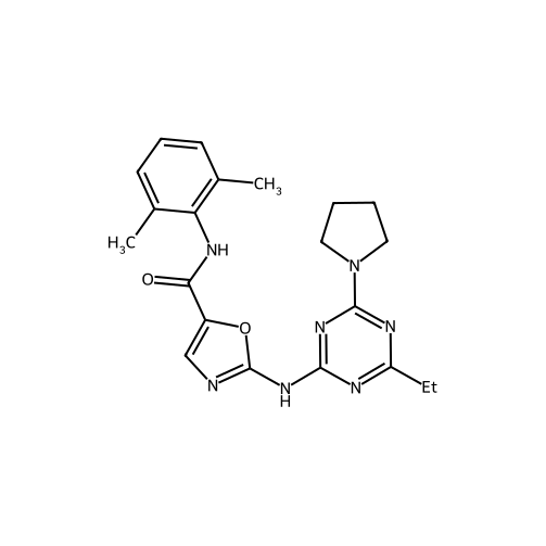 CCc1nc(Nc2ncc(C(=O)Nc3c(C)cccc3C)o2)nc(N2CCCC2)n1